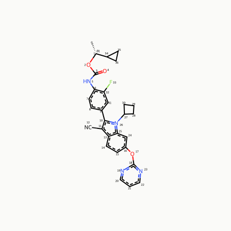 C[C@@H](OC(=O)Nc1ccc(-c2c(C#N)c3ccc(Oc4ncccn4)cc3n2C2CCC2)cc1F)C1CC1